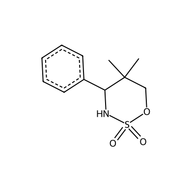 CC1(C)COS(=O)(=O)NC1c1ccccc1